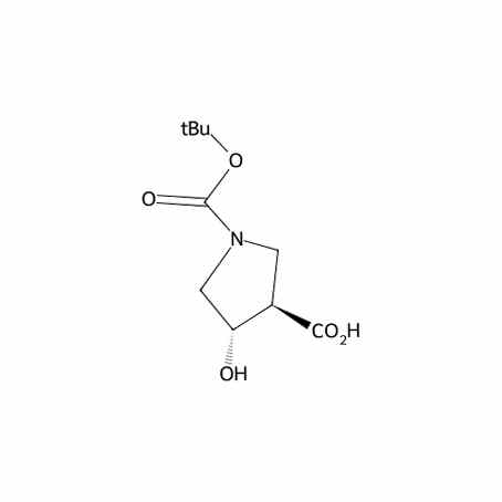 CC(C)(C)OC(=O)N1C[C@@H](O)[C@H](C(=O)O)C1